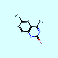 O=c1nc(C(F)(F)F)c2cc([N+](=O)[O-])ccc2[nH]1